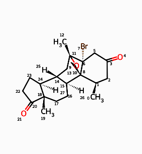 C[C@@H]1CC(=O)C[C@@]2(Br)[C@]13CO[C@]2(C)C[C@@H]1[C@@H]3CC[C@]2(C)C(=O)CC[C@@H]12